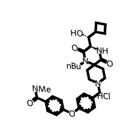 CCCCN1C(=O)[C@@H]([C@H](O)C2CCC2)NC(=O)C12CCN(Cc1ccc(Oc3ccc(C(=O)NC)cc3)cc1)CC2.Cl